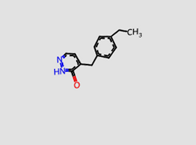 CCc1ccc(Cc2ccn[nH]c2=O)cc1